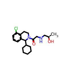 C[C@@H](O)CNCC(=O)N1CCc2c(Cl)cccc2C1C1CCCCC1